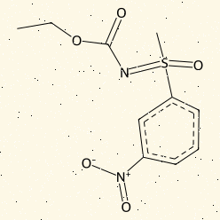 CCOC(=O)N=S(C)(=O)c1cccc([N+](=O)[O-])c1